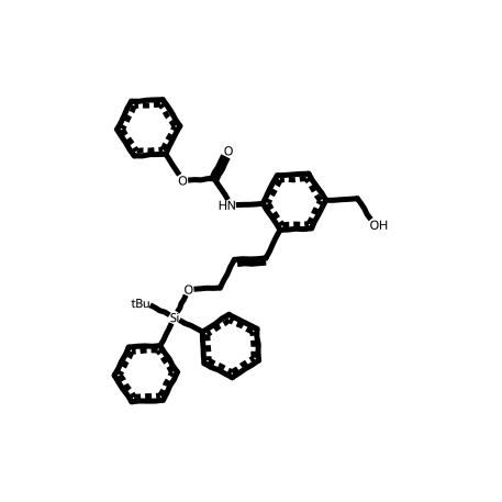 CC(C)(C)[Si](OC/C=C/c1cc(CO)ccc1NC(=O)Oc1ccccc1)(c1ccccc1)c1ccccc1